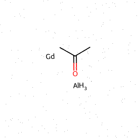 CC(C)=O.[AlH3].[Gd]